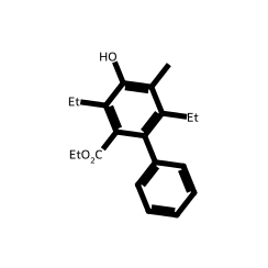 CCOC(=O)c1c(CC)c(O)c(C)c(CC)c1-c1ccccc1